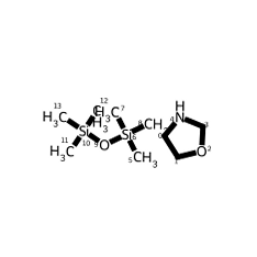 C1COCN1.C[Si](C)(C)O[Si](C)(C)C